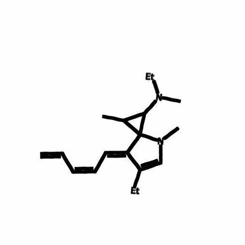 C=C/C=C\C=C1/C(CC)=CN(C)C12C(C)C2N(C)CC